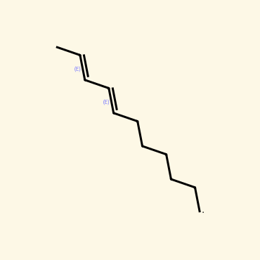 [CH2]CCCCC/C=C/C=C/C